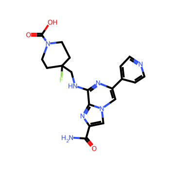 NC(=O)c1cn2cc(-c3ccncc3)nc(NCC3(F)CCN(C(=O)O)CC3)c2n1